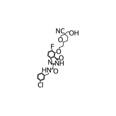 N#CC1(CO)CCC(CCOc2c(F)ccc3nc(C(=O)NCc4cccc(Cl)c4)[nH]c(=O)c23)OC1